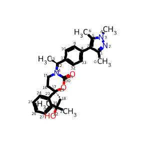 Cc1nn(C)c(C)c1-c1ccc([C@H](C)N2CC[C@](CC(C)(C)O)(c3ccccc3)OC2=O)cc1